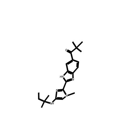 CCC(C)(C)Nc1cn(C)c(-c2nc3ccc(C(=O)C(C)(C)C)cc3[nH]2)n1